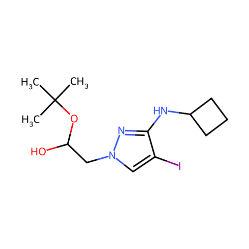 CC(C)(C)OC(O)Cn1cc(I)c(NC2CCC2)n1